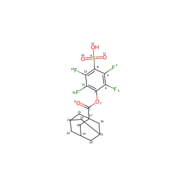 O=C(Oc1c(F)c(F)c(S(=O)(=O)O)c(F)c1F)C12CC3CC(CC(C3)C1)C2